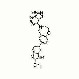 Cc1nc2ccc(-c3ccc4c(c3)CN(c3ncnc5[nH]ncc35)CCO4)cc2[nH]1